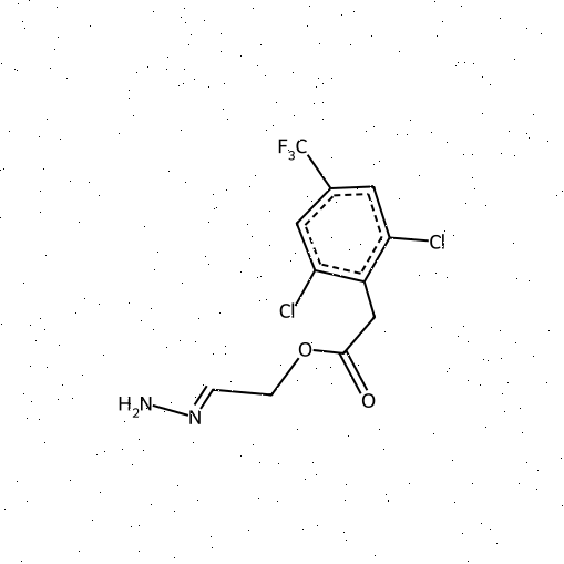 NN=CCOC(=O)Cc1c(Cl)cc(C(F)(F)F)cc1Cl